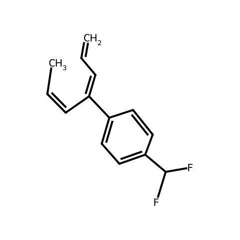 C=C/C=C(\C=C/C)c1ccc(C(F)F)cc1